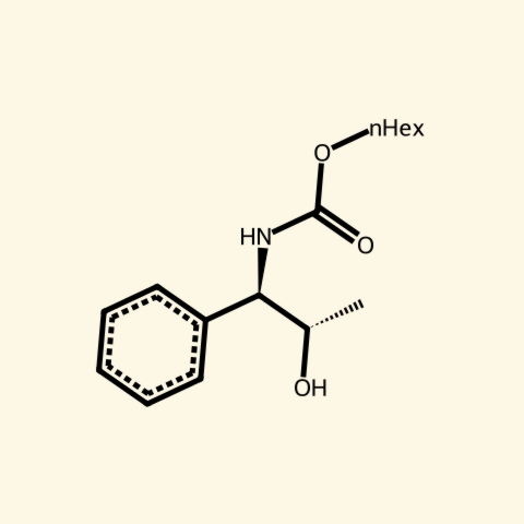 CCCCCCOC(=O)N[C@H](c1ccccc1)[C@H](C)O